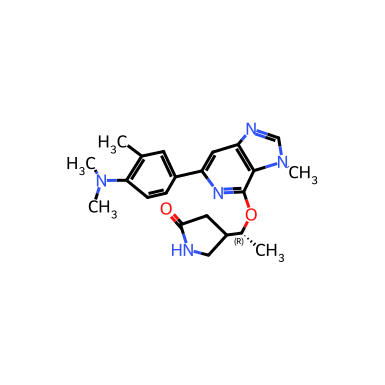 Cc1cc(-c2cc3ncn(C)c3c(O[C@H](C)C3CNC(=O)C3)n2)ccc1N(C)C